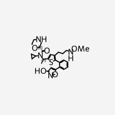 CONCCCc1cc([C@@H](C)N(C(=O)[C@H]2CNCCO2)C2CC2)sc1-c1ccccc1-c1cc(O)no1